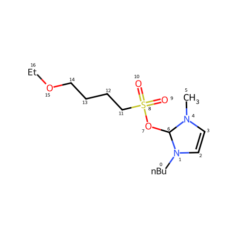 CCCCN1C=CN(C)C1OS(=O)(=O)CCCCOCC